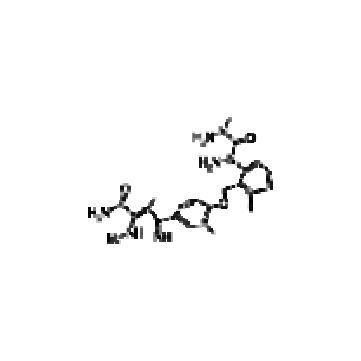 CCN/C(C(N)=O)=C(/C)C(=N)c1ccc(OCc2c(C)cccc2N(N)C(=O)N(C)N)c(C)c1